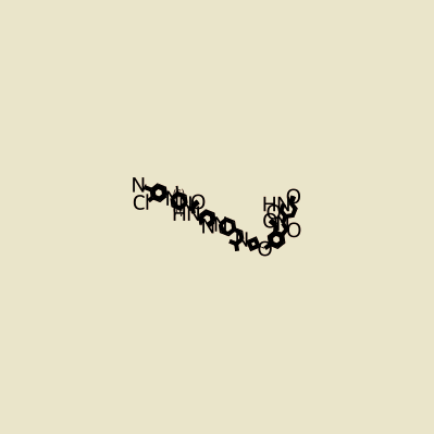 CC(C)N(CC1CCN(c2ccc(NC(=O)N3C[C@H](C)N(c4ccc(C#N)c(Cl)c4)C[C@H]3C)cn2)CC1)[C@H]1C[C@@H](Oc2ccc3c(c2)C(=O)N(C2CCC(=O)NC2=O)C3=O)C1